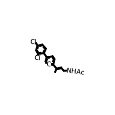 CC(=O)NCC=C(C)c1ccc(-c2ccc(Cl)cc2Cl)cc1